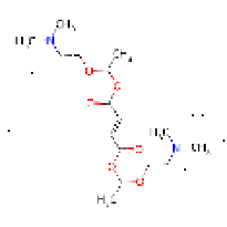 CC(OCCN(C)C)OC(=O)C=CC(=O)OC(C)OCCN(C)C